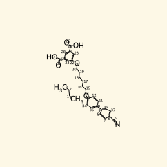 CCCC.N#Cc1ccc(-c2ccc(OCCCCCCOc3cc(C(=O)O)cc(C(=O)O)c3)cc2)cc1